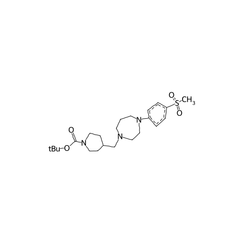 CC(C)(C)OC(=O)N1CCC(CN2CCCN(c3ccc(S(C)(=O)=O)cc3)CC2)CC1